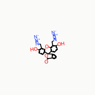 [N-]=[N+]=NCc1c(O)ccc2c1Oc1c(ccc(O)c1CN=[N+]=[N-])C21OC(=O)c2ccccc21